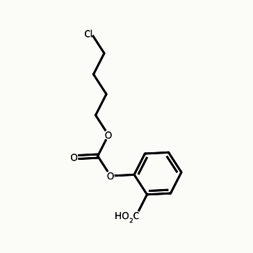 O=C(OCCCCCl)Oc1ccccc1C(=O)O